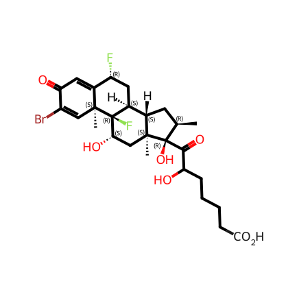 C[C@@H]1C[C@H]2[C@@H]3C[C@@H](F)C4=CC(=O)C(Br)=C[C@]4(C)[C@@]3(F)[C@@H](O)C[C@]2(C)[C@@]1(O)C(=O)C(O)CCCCC(=O)O